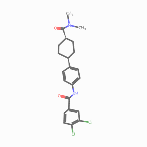 CN(C)C(=O)[C@H]1CC[C@@H](c2ccc(NC(=O)c3ccc(Cl)c(Cl)c3)cc2)CC1